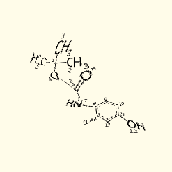 CC(C)(C)OC(=O)Nc1c[c]c(O)cc1